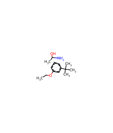 CC(N)O.CCOc1cccc(C(C)(C)C)c1